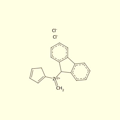 [CH2]=[Zr+2]([C]1=CC=CC1)[CH]1c2ccccc2-c2ccccc21.[Cl-].[Cl-]